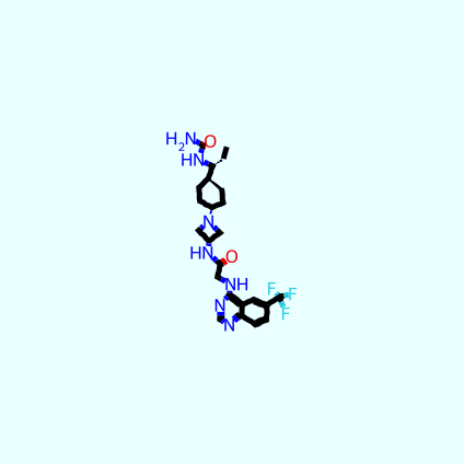 CC[C@@H](NC(N)=O)[C@H]1CC[C@H](N2CC(NC(=O)CNc3ncnc4ccc(C(F)(F)F)cc34)C2)CC1